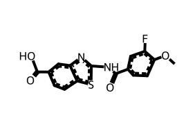 COc1ccc(C(=O)Nc2nc3cc(C(=O)O)ccc3s2)cc1F